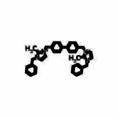 Cc1n(Cc2ccccc2)cc[n+]1Cc1ccc(-c2ccc(C[n+]3ccn(Cc4ccccc4)c3C)cc2)cc1